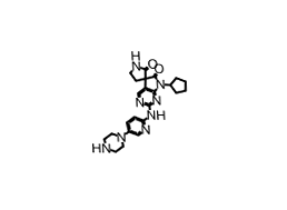 O=C1NCCC12C(=O)N(C1CCCC1)c1nc(Nc3ccc(N4CCNCC4)cn3)ncc12